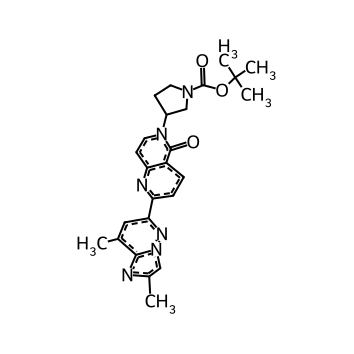 Cc1cn2nc(-c3ccc4c(=O)n(C5CCN(C(=O)OC(C)(C)C)C5)ccc4n3)cc(C)c2n1